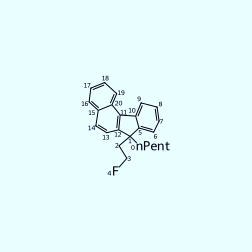 CCCCCC1(CCF)c2ccccc2-c2c1ccc1ccccc21